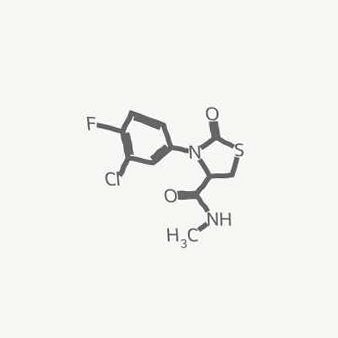 CNC(=O)C1CSC(=O)N1c1ccc(F)c(Cl)c1